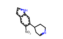 O=[N+]([O-])c1cc2cc[nH]c2cc1C1CC=NCC1